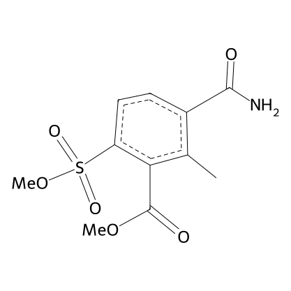 COC(=O)c1c(S(=O)(=O)OC)ccc(C(N)=O)c1C